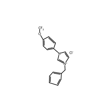 FC(F)(F)Oc1ccc(-n2cc[n+](Cc3ccccc3)c2)cc1.[Cl-]